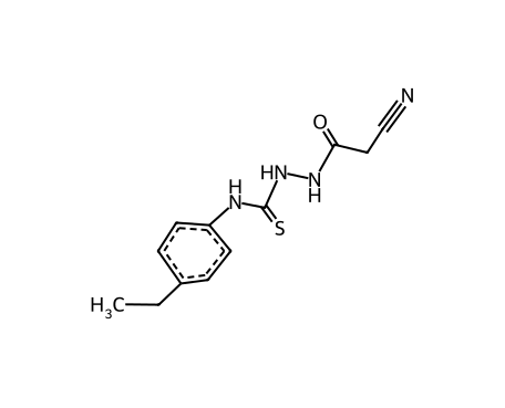 CCc1ccc(NC(=S)NNC(=O)CC#N)cc1